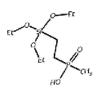 CCO[Si](CCP(C)(=O)O)(OCC)OCC